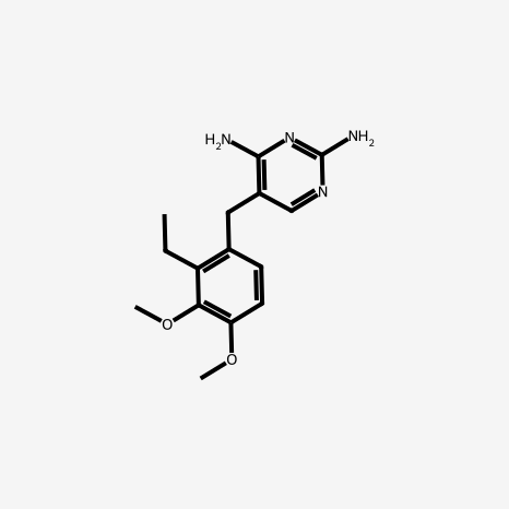 CCc1c(Cc2cnc(N)nc2N)ccc(OC)c1OC